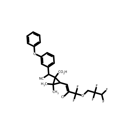 CC1(C)C(C=C(Cl)C(F)(F)OCC(F)(F)C(F)F)C1(C(=O)O)C(C#N)c1cccc(Oc2ccccc2)c1